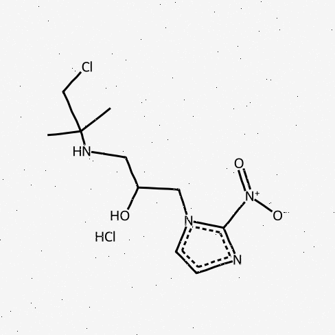 CC(C)(CCl)NCC(O)Cn1ccnc1[N+](=O)[O-].Cl